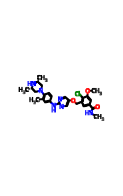 CNC(=O)c1cc(COc2cnc(Nc3ccc(N4C[C@@H](C)N[C@@H](C)C4)c(C)c3)nc2)c(Cl)c(OC)c1